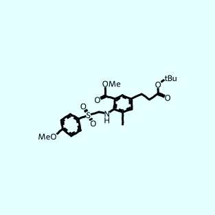 COC(=O)c1cc(CCC(=O)OC(C)(C)C)cc(C)c1NCS(=O)(=O)c1ccc(OC)cc1